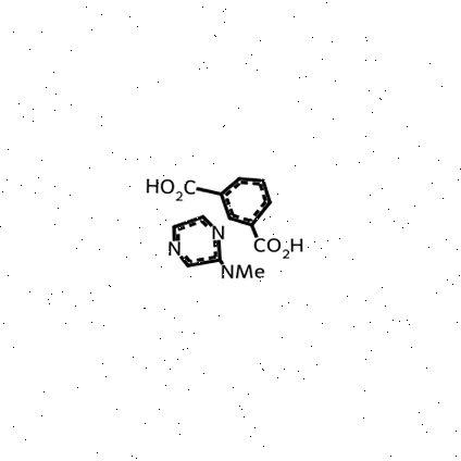 CNc1cnccn1.O=C(O)c1cccc(C(=O)O)c1